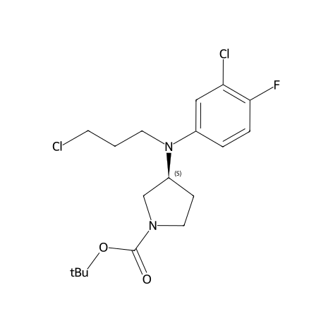 CC(C)(C)OC(=O)N1CC[C@H](N(CCCCl)c2ccc(F)c(Cl)c2)C1